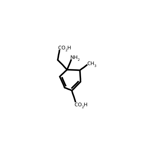 CC1C=C(C(=O)O)C=CC1(N)CC(=O)O